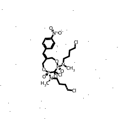 CN(CCCCCl)P1(=O)OCC(=Cc2ccc([N+](=O)[O-])cc2)COP(=O)(N(C)CCCCCl)C1(Cl)Cl